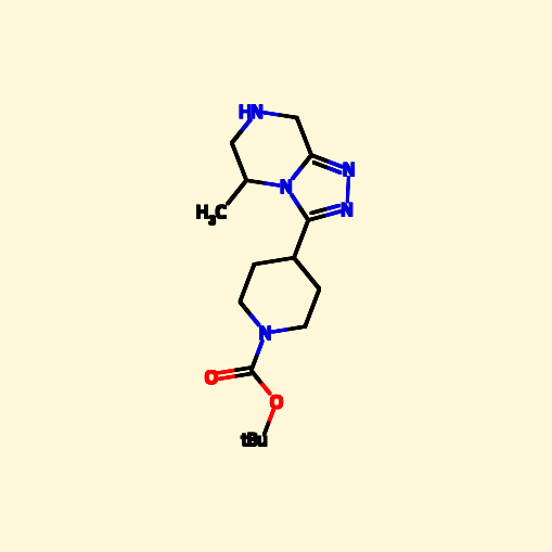 CC1CNCc2nnc(C3CCN(C(=O)OC(C)(C)C)CC3)n21